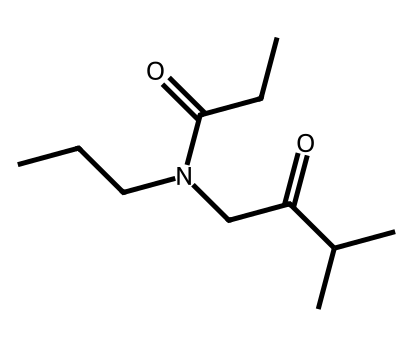 CCCN(CC(=O)C(C)C)C(=O)CC